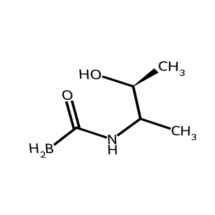 BC(=O)NC(C)[C@H](C)O